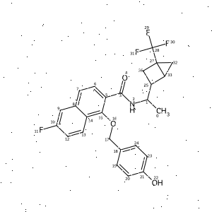 CC(NC(=O)c1ccc2cc(F)ccc2c1OCc1ccc(O)cc1)C1CC2(C(F)(F)F)CC12